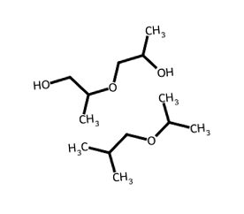 CC(C)COC(C)C.CC(O)COC(C)CO